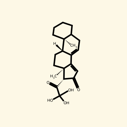 C[C@]12CC[C@H]3C(=CCC4CCCC[C@@]43C)C1=CC(=O)[C@@H]2C(=O)C(O)(O)O